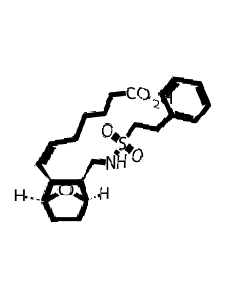 O=C(O)CCCC/C=C\[C@H]1[C@@H](CNS(=O)(=O)CCc2ccccc2)[C@H]2CC[C@@H]1O2